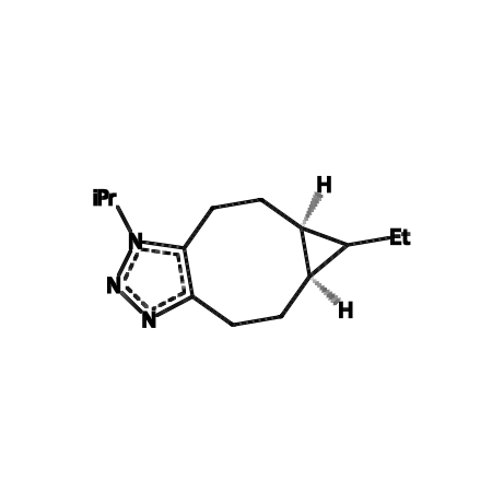 CCC1[C@H]2CCc3nnn(C(C)C)c3CC[C@@H]12